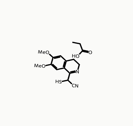 CCC(=O)O.COc1cc2c(cc1OC)C(C(S)C#N)=NCC2